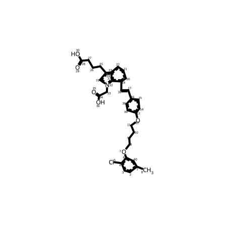 Cc1ccc(Cl)c(OCCCCOc2ccc(/C=C/c3cccc4c(CCCC(=O)O)cn(CC(=O)O)c34)cc2)c1